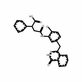 O=C(CC(C(=O)O)c1ccccc1)Nc1cc(Cc2n[nH]c(=O)c3ccccc23)ccc1Cl